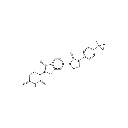 CC1(c2ccc(N3CCN(c4ccc5c(c4)CN(C4CCC(=O)NC4=O)C5=O)C3=O)cc2)CC1